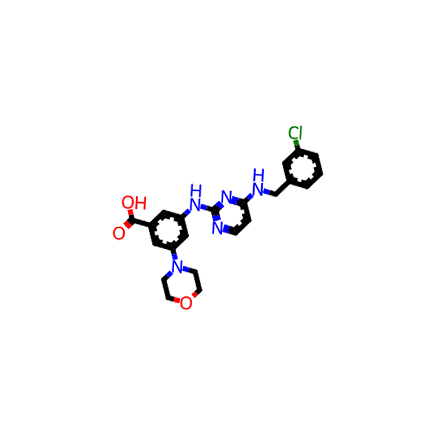 O=C(O)c1cc(Nc2nccc(NCc3cccc(Cl)c3)n2)cc(N2CCOCC2)c1